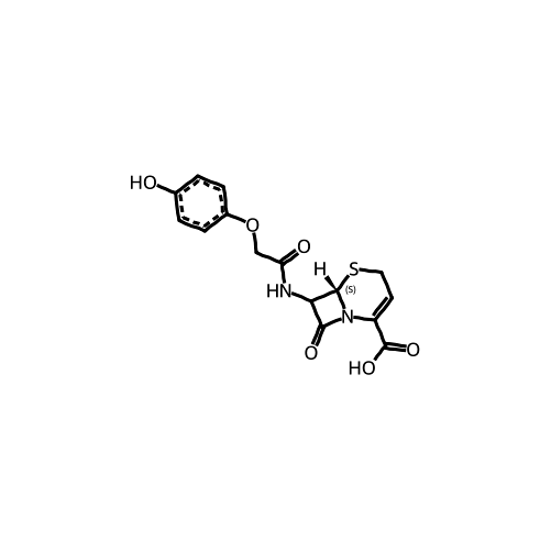 O=C(COc1ccc(O)cc1)NC1C(=O)N2C(C(=O)O)=CCS[C@@H]12